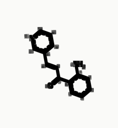 Nc1ccccc1C(=O)/C=C/c1cccnc1